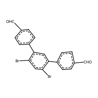 O=Cc1ccc(-c2cc(-c3ccc(C=O)cc3)c(Br)cc2Br)cc1